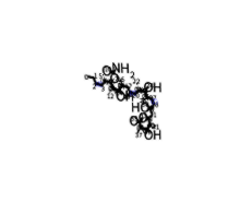 CC/C=C\[C@H](C)[C@H](OC(N)=O)[C@@H](C)[C@H](O)[C@@H](C)C/C(C)=C\[C@H](C)[C@@H](O)[C@@H](C)/C=C\[C@@H](O)C[C@@H]1OC(=O)[C@H](C)[C@@H](O)[C@H]1C